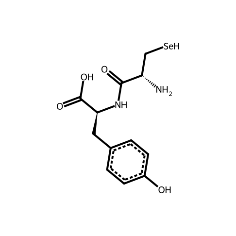 N[C@@H](C[SeH])C(=O)N[C@@H](Cc1ccc(O)cc1)C(=O)O